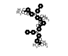 CC(C)(C)c1cccc2c1oc1ccc(N(c3ccc(-c4ccccc4)cc3)c3ccc4c(c3)C(C)(C)c3c-4n4c5oc6cc(N(c7ccc(-c8ccccc8)cc7)c7ccc8oc9c(C(C)(C)C)cccc9c8c7)ccc6c5c5cccc3c54)cc12